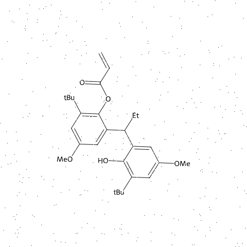 C=CC(=O)Oc1c(C(CC)c2cc(OC)cc(C(C)(C)C)c2O)cc(OC)cc1C(C)(C)C